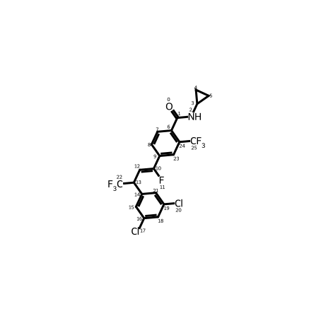 O=C(NC1CC1)c1ccc(C(F)=CC(c2cc(Cl)cc(Cl)c2)C(F)(F)F)cc1C(F)(F)F